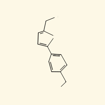 O=CCc1ccc(-c2ccc(CF)cc2)s1